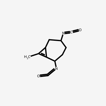 CC1=C2C(N=C=O)CCC(N=C=O)CC12